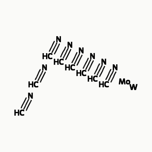 C#N.C#N.C#N.C#N.C#N.C#N.C#N.C#N.[Mo].[W]